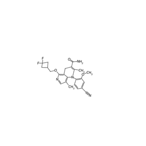 COc1cc(C#N)ccc1N1C(C)=C(C(N)=O)Cc2c(OCC3CC(F)(F)C3)ncc(C)c21